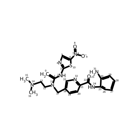 C=C(Nc1ncc([N+](=O)[O-])s1)N(CCN(C)C)Cc1ccc(C(=O)Nc2ccccc2N)nc1